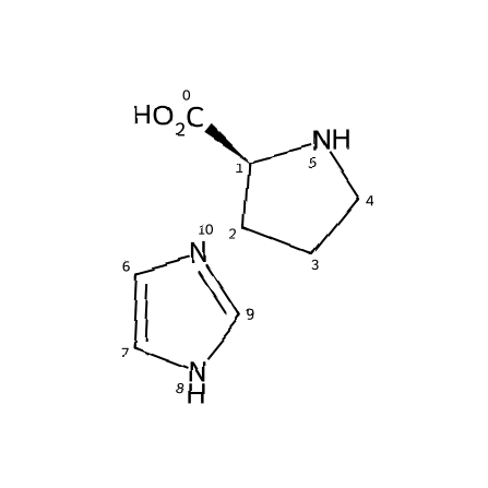 O=C(O)[C@@H]1CCCN1.c1c[nH]cn1